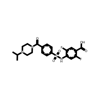 CC(C)N1CCN(C(=O)c2ccc(S(=O)(=O)Nc3cc(F)c(C(=O)O)cc3F)cc2)CC1